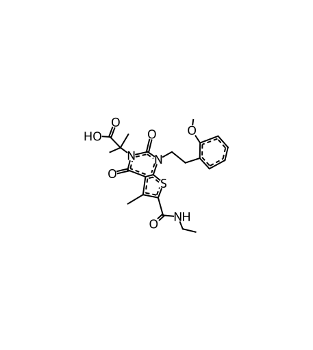 CCNC(=O)c1sc2c(c1C)c(=O)n(C(C)(C)C(=O)O)c(=O)n2CCc1ccccc1OC